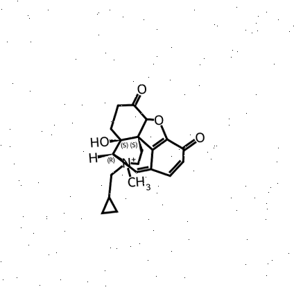 C[N+]1(CC2CC2)CC[C@]23C4=C5OC2C(=O)CC[C@@]3(O)[C@H]1C=C4C=CC5=O